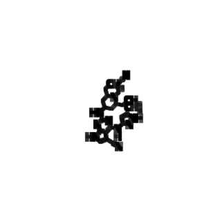 CCC1CC(Nc2nc(Nc3cc(C)[nH]n3)c3c(C#N)c[nH]c3n2)CC(CC)N1CCC#N